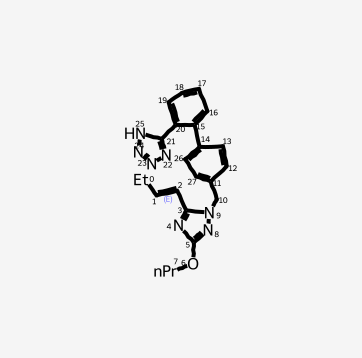 CC/C=C/c1nc(OCCC)nn1Cc1ccc(-c2ccccc2-c2nnn[nH]2)cc1